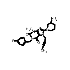 CC#CCn1c(N2CCCC(N)C2)nc2c1c(=O)n(Cc1ccc(F)cc1)c(=O)n2C